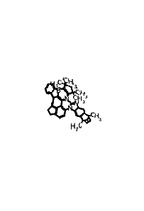 CC1(C)CC(C)(C)C2=C1B1c3ccccc3-c3c4c5c(ccc6c5c(c31)n2c1nc2cc3c(cc2n61)C1(C)CCC3(C)C1)CC4